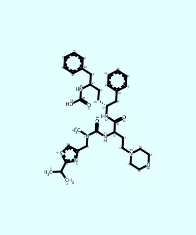 CC(C)c1nc(CN(C)C(=O)NC(CCN2CCOCC2)C(=O)N[C@H](CCC(Cc2ccccc2)NC(=O)O)Cc2ccccc2)cs1